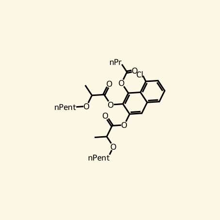 CCCCCOC(C)C(=O)Oc1cc2cccc(Cl)c2c(OC(=O)CCC)c1OC(=O)C(C)OCCCCC